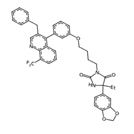 CCC1(c2ccc3c(c2)OCO3)NC(=O)N(CCCCOc2cccc(-c3c(Cc4ccccc4)cnc4c(C(F)(F)F)cccc34)c2)C1=O